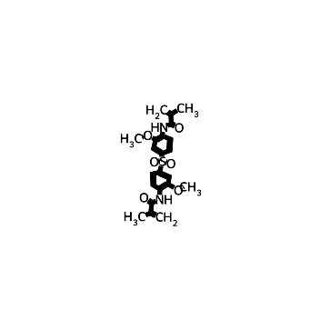 C=C(C)C(=O)Nc1ccc(S(=O)(=O)c2ccc(NC(=O)C(=C)C)c(OC)c2)cc1OC